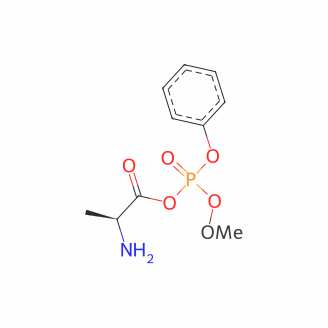 COOP(=O)(OC(=O)[C@H](C)N)Oc1ccccc1